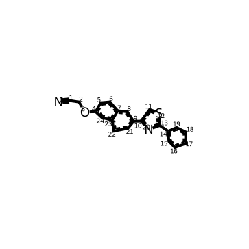 N#CCOc1ccc2cc(-c3csc(-c4ccccc4)n3)ccc2c1